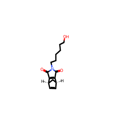 O=C1C2=C(C(=O)N1CCCCCCO)[C@H]1C=C[C@@H]2C1